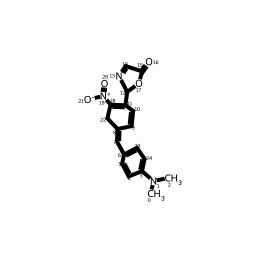 CN(C)c1ccc(C=C2C=CC(C3N=CC(=O)O3)=C([N+](=O)[O-])C2)cc1